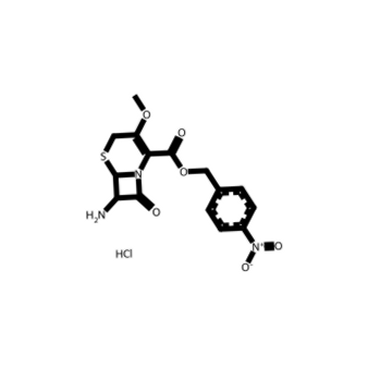 COC1=C(C(=O)OCc2ccc([N+](=O)[O-])cc2)N2C(=O)C(N)C2SC1.Cl